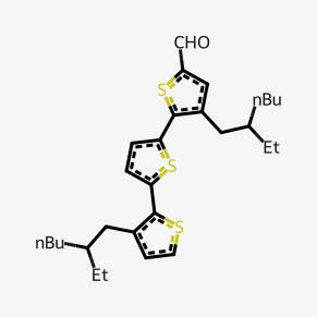 CCCCC(CC)Cc1ccsc1-c1ccc(-c2sc(C=O)cc2CC(CC)CCCC)s1